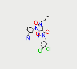 CCCCn1cc(C(=O)NCc2ccc(Cl)c(Cl)c2)c(=O)n(-c2cccc(C#N)c2)c1=O